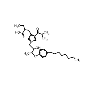 CCCCCCCCc1ccc(OC(C)C(O)Cn2cc(CC(CC)C(=O)O)c(C(=O)C(C)C)c2)cc1